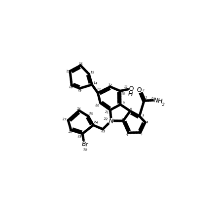 NC(=O)c1cccc2c1c1c(O)cc(-c3ccccc3)cc1n2Cc1ccccc1Br